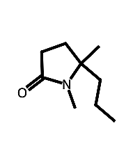 CCCC1(C)CCC(=O)N1C